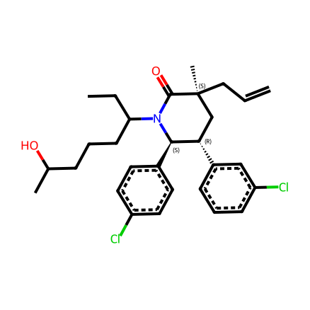 C=CC[C@@]1(C)C[C@H](c2cccc(Cl)c2)[C@@H](c2ccc(Cl)cc2)N(C(CC)CCCC(C)O)C1=O